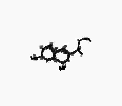 Br.CC(CN)c1ccc2cc(O)ccc2c1